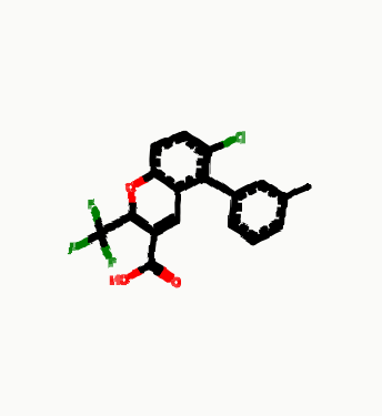 Cc1cccc(-c2c(Cl)ccc3c2C=C(C(=O)O)C(C(F)(F)F)O3)c1